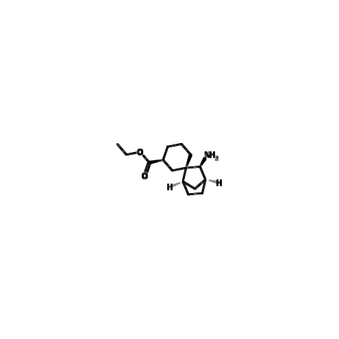 CCOC(=O)[C@H]1CCC[C@]2(C1)[C@@H]1CC[C@@H](C1)[C@@H]2N